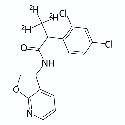 [2H]C([2H])([2H])C(C(=O)NC1COc2ncccc21)c1ccc(Cl)cc1Cl